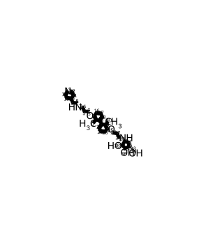 Cc1c(OCCCNCCc2ccncc2)cccc1-c1cccc(OCCCN[C@@H]2C[C@H](CO)[C@@H](O)[C@H]2O)c1C